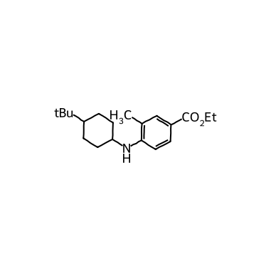 CCOC(=O)c1ccc(NC2CCC(C(C)(C)C)CC2)c(C)c1